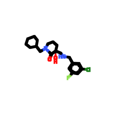 O=C1N(CC2CCCCC2)CCC[C@@]1(O)CNCc1cc(F)cc(Cl)c1